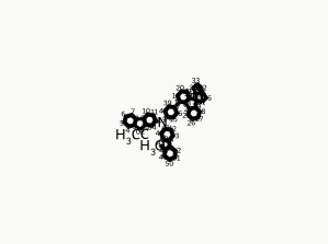 CC1(C)c2ccccc2-c2ccc(N(c3ccc(-c4cccc5c4-c4ccccc4C54C5CC6CC(C5)[C@@H]4C6)cc3)c3ccc4c(c3)oc3ccccc34)cc21